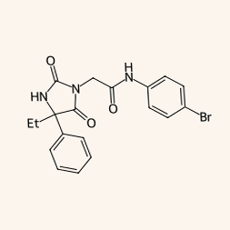 CCC1(c2ccccc2)NC(=O)N(CC(=O)Nc2ccc(Br)cc2)C1=O